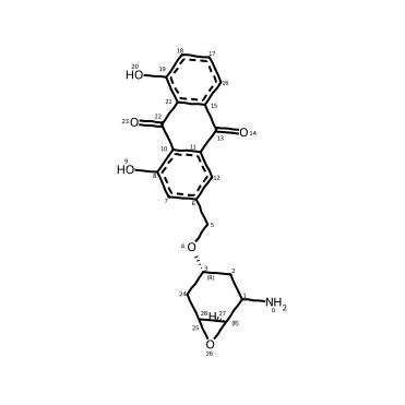 NC1C[C@@H](OCc2cc(O)c3c(c2)C(=O)c2cccc(O)c2C3=O)CC2O[C@H]12